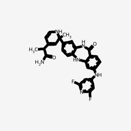 CC(C(N)=O)C1=CC(C)(c2ccc3c(c2)NC(=O)c2ccc(Nc4cc(F)nc(F)c4)cc2N3)NC=C1